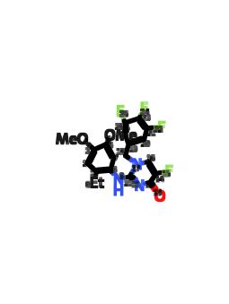 CCc1cc(OC)c(OC)cc1Nc1nc(=O)c(F)cn1Cc1cc(F)c(F)c(F)c1